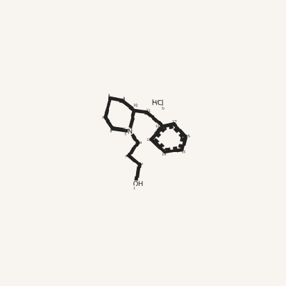 Cl.OCCCN1CCCCC1Cc1ccccc1